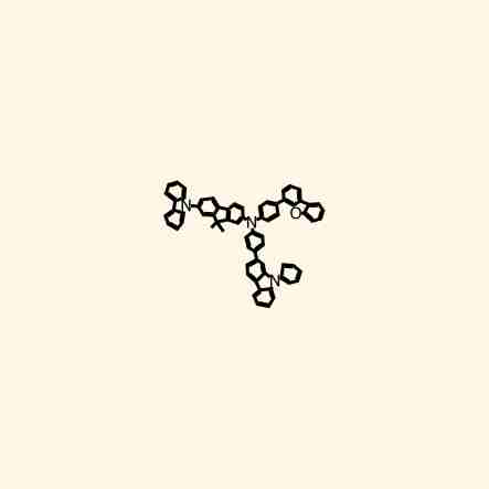 CC1(C)c2cc(N(c3ccc(-c4ccc5c6ccccc6n(-c6ccccc6)c5c4)cc3)c3ccc(-c4cccc5c4oc4ccccc45)cc3)ccc2-c2ccc(-n3c4ccccc4c4ccccc43)cc21